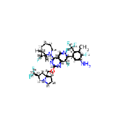 Cc1c(F)c(N)cc(-c2ncc3c(N4CCCC[C@H]5[C@H](F)[C@H]54)nc(OC[C@@]45CCCN4CC(=C(F)F)C5)nc3c2F)c1C(F)(F)F